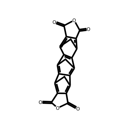 O=C1OC(=O)C2=C3CC(=C12)C1=C2CC(=C31)C1=C2C2=C3C(=O)OC(=O)C3=C1C2